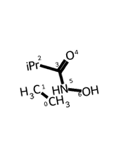 CC.CC(C)C(=O)NO